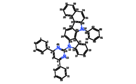 c1ccc(-c2cc(-c3ccccc3)nc(-n3c4ccccc4c4c3ccc3c5c6ccccc6ccc5n(-c5ccccc5)c34)n2)cc1